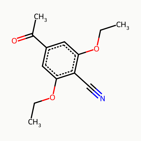 CCOc1cc(C(C)=O)cc(OCC)c1C#N